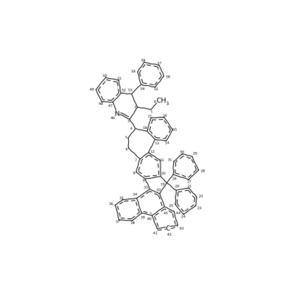 CCC1C(C2CCc3cc4c(cc3-c3ccccc32)C(c2ccccc2)(c2ccccc2)c2c-4c3ccccc3c3ccccc23)=Nc2ccccc2C1c1ccccc1